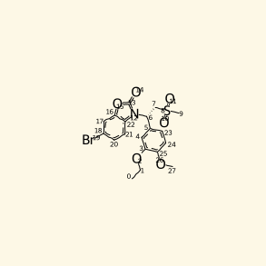 CCOc1cc([C@@H](CS(C)(=O)=O)n2c(=O)oc3cc(Br)ccc32)ccc1OC